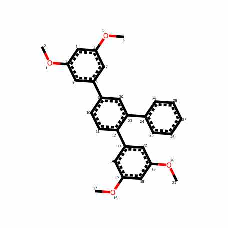 COc1cc(OC)cc(-c2ccc(-c3cc(OC)cc(OC)c3)c(-c3ccccc3)c2)c1